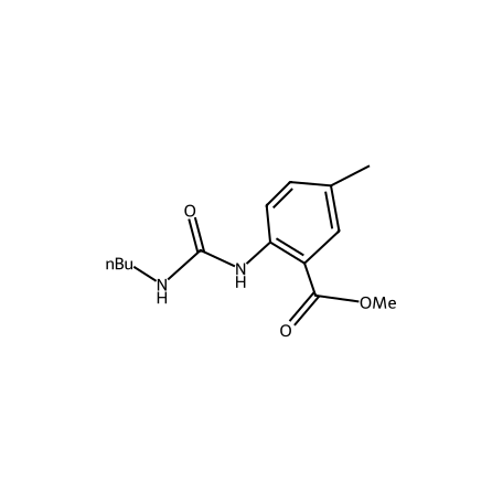 CCCCNC(=O)Nc1ccc(C)cc1C(=O)OC